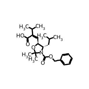 CC(C)C[C@H]1[C@H](C=C(C(=O)O)C(C)C)OC(C)(C)N1C(=O)OCc1ccccc1